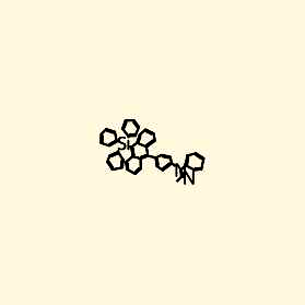 Cc1nc2ccccc2n1-c1ccc(-c2c3ccccc3c([Si](c3ccccc3)(c3ccccc3)c3ccccc3)c3ccccc23)cc1